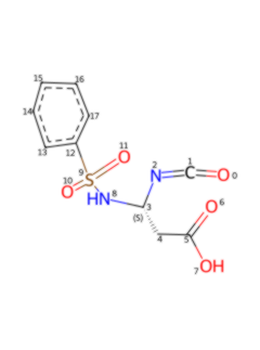 O=C=N[C@H](CC(=O)O)NS(=O)(=O)c1ccccc1